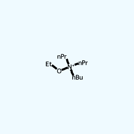 CCCC[N+](CCC)(CCC)OCC